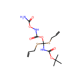 C=CCSC(NC(=O)OC(C)(C)C)(OC(=O)NOC(N)=O)SCC=C